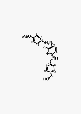 COc1ccc(CSc2nc(NCc3ccc(CO)cc3)ccc2N)cc1